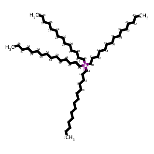 CCCCCCCCCCCCCCC[PH](CCCCCCCCCCCCCC)(CCCCCCCCCCCCCCC)CCCCCCCCCCCCCCC